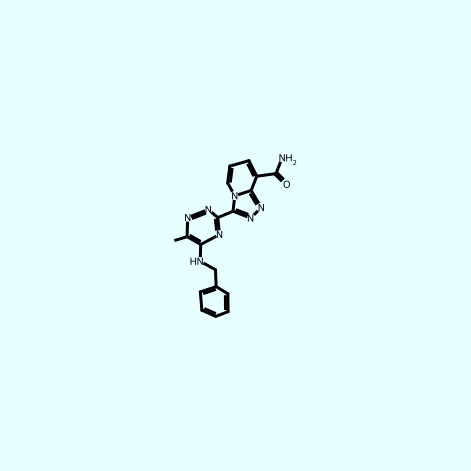 Cc1nnc(-c2nnc3c(C(N)=O)cccn23)nc1NCc1ccccc1